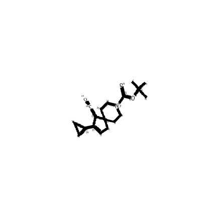 CC(C)(C)OC(=O)N1CCC2(CC=C(C3CC3)C2=C=O)CC1